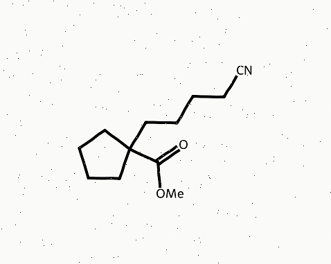 COC(=O)C1(CCCCC#N)CCCC1